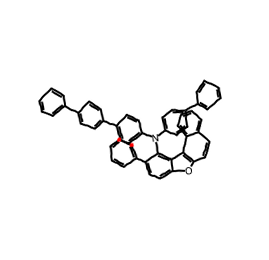 c1ccc(-c2ccc(-c3ccc(N(c4ccc(-c5ccccc5)cc4)c4c(-c5ccccc5)ccc5oc6ccc7ccccc7c6c45)cc3)cc2)cc1